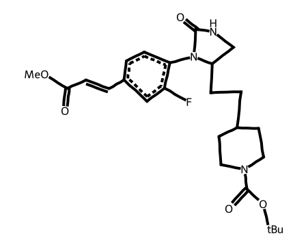 COC(=O)C=Cc1ccc(N2C(=O)NCC2CCC2CCN(C(=O)OC(C)(C)C)CC2)c(F)c1